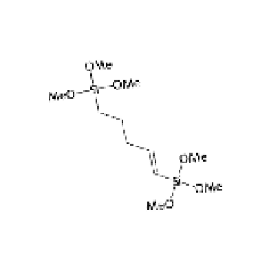 CO[Si](/C=C/CCC[Si](OC)(OC)OC)(OC)OC